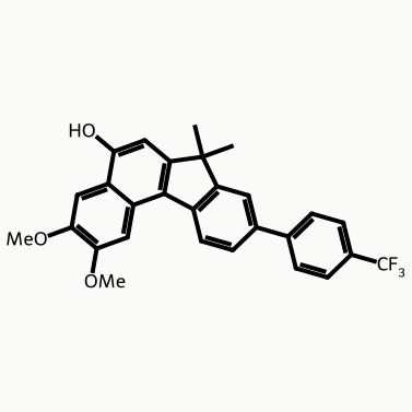 COc1cc2c(O)cc3c(c2cc1OC)-c1ccc(-c2ccc(C(F)(F)F)cc2)cc1C3(C)C